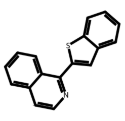 [c]1cnc(-c2cc3ccccc3s2)c2ccccc12